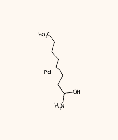 NC(O)CCCCCCC(=O)O.[Pd]